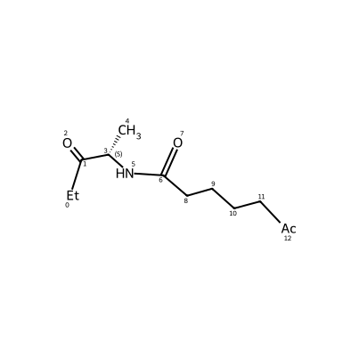 CCC(=O)[C@H](C)NC(=O)CCCCC(C)=O